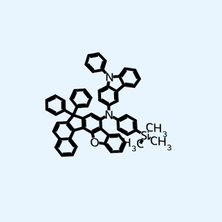 C[Si](C)(C)c1ccc(N(c2ccc3c(c2)c2ccccc2n3-c2ccccc2)c2cc3c(c4oc5ccccc5c24)-c2c(ccc4ccccc24)C3(c2ccccc2)c2ccccc2)cc1